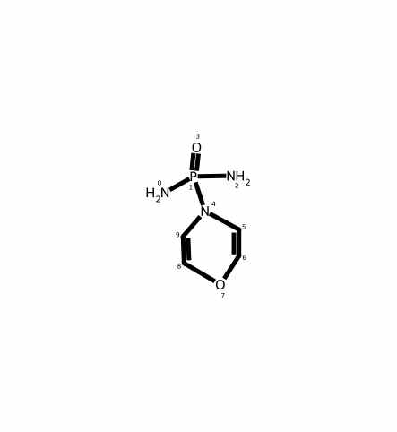 NP(N)(=O)N1C=COC=C1